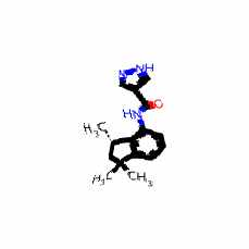 C[C@H]1CC(C)(C)c2cccc(NC(=O)c3cn[nH]c3)c21